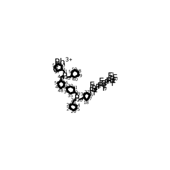 F[B-](F)(F)F.F[B-](F)(F)F.F[B-](F)(F)F.[Rh+3].c1ccc(CP(Cc2ccccc2)Cc2ccccc2)cc1.c1ccc(CP(Cc2ccccc2)Cc2ccccc2)cc1